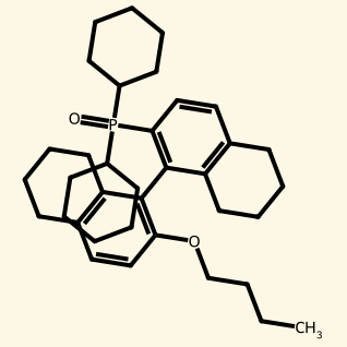 CCCCOc1ccc2c(c1-c1c(P(=O)(C3CCCCC3)C3CCCCC3)ccc3c1CCCC3)CCCC2